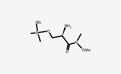 CON(C)C(=O)[C@H](N)CO[Si](C)(C)C(C)(C)C